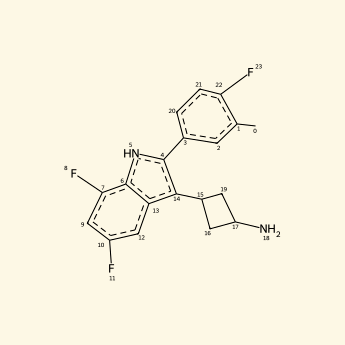 Cc1cc(-c2[nH]c3c(F)cc(F)cc3c2C2CC(N)C2)ccc1F